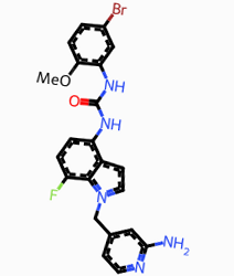 COc1ccc(Br)cc1NC(=O)Nc1ccc(F)c2c1ccn2Cc1ccnc(N)c1